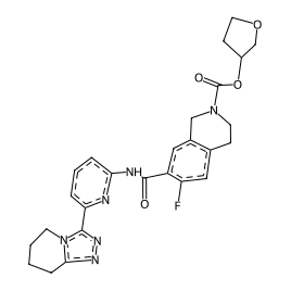 O=C(Nc1cccc(-c2nnc3n2CCCC3)n1)c1cc2c(cc1F)CCN(C(=O)OC1CCOC1)C2